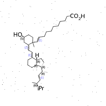 CC(C)[C@@H](C)/C=C/[C@@H](C)[C@H]1CC[C@H]2/C(=C/C=C3/C[C@@H](O)CCC3(C)/C=C/CCCCCCCCC(=O)O)CCC[C@]12C